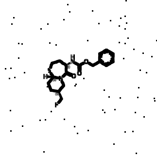 O=C(N[C@H]1CCS[C@H]2CC[C@H](CF)CN2C1=O)OCc1ccccc1